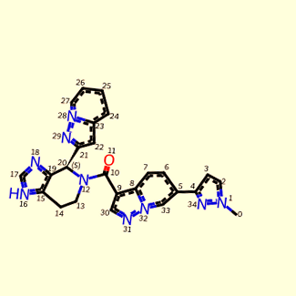 Cn1ccc(-c2ccc3c(C(=O)N4CCc5[nH]cnc5[C@H]4c4cc5ccccn5n4)cnn3c2)n1